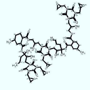 CCCCC(C)(OC(=O)C1CC(C)CCC1C(=O)OCC(O)Cn1c(=O)n(CC2CO2)c(=O)n(CC2CO2)c1=O)C(O)Cn1c(=O)n(CC(O)COC(=O)C2CCC(C)CC2C(=O)OC(C)(CCC)C(O)Cn2c(=O)n(CC3CO3)c(=O)n(CC3CO3)c2=O)c(=O)n(CC2CO2)c1=O